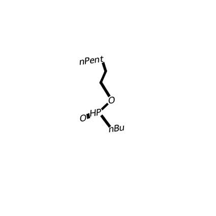 CCCCCCCO[PH](=O)CCCC